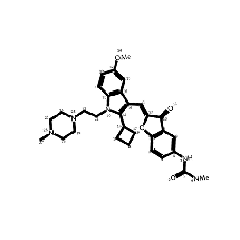 CNC(=O)Nc1ccc2c(c1)C(=O)C(=Cc1c(C3CCC3)n(CCN3CCN(C)CC3)c3ccc(OC)cc13)O2